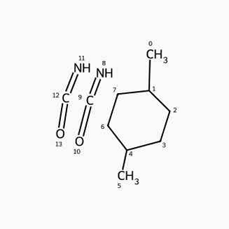 CC1CCC(C)CC1.N=C=O.N=C=O